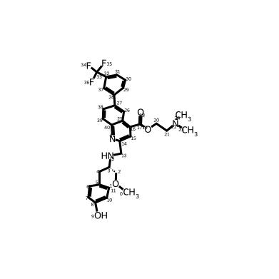 COC[C@H](Cc1ccc(O)cc1)NCc1cc(C(=O)OCCN(C)C)c2cc(-c3cccc(C(F)(F)F)c3)ccc2n1